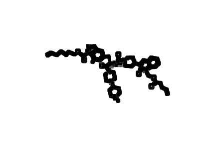 C=CCCCCCOC(=O)n1ncc2cc(C[C@@H](NC(=O)N3CCC(c4cc5ccccc5n(COC(=O)CCC=C)c4=O)CC3)C(=O)N3CCN(C4CCN(C)CC4)CC3)cc(C)c21